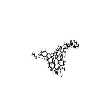 Cc1cccc([C@H](Cc2ccc(C(=N)N)cc2)C(=O)N[C@H](C(=O)NC(CCCNC(=N)N)C(N)=O)C2CCCCC2)c1